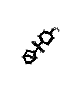 Cc1ccc(S(=O)(=O)N2CC3C=CC2CC3)cc1